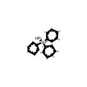 P=[SH](c1ccccc1)(c1ccccc1)c1ccccc1